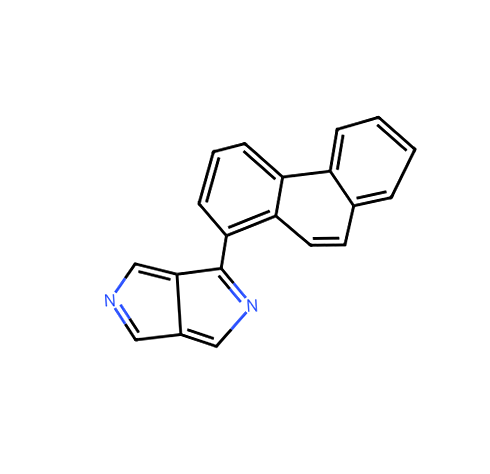 C1=NC=C2C1=CN=C2c1cccc2c1ccc1ccccc12